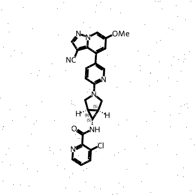 COc1cc(-c2ccc(N3C[C@@H]4[C@H](C3)[C@H]4NC(=O)c3ncccc3Cl)nc2)c2c(C#N)cnn2c1